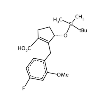 COc1cc(F)ccc1CC1=C(C(=O)O)CC[C@@H]1O[Si](C)(C)C(C)(C)C